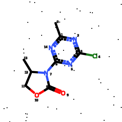 Cc1nc(Cl)nc(N2C(=O)OCC2C)n1